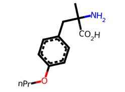 CCCOc1ccc(CC(C)(N)C(=O)O)cc1